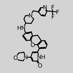 O=c1cc(N2CCOCC2)cc(-c2cccc3c2Oc2ccc(NC4CCN(Cc5ccc(C(F)(F)F)nc5)CC4)cc2C3)[nH]1